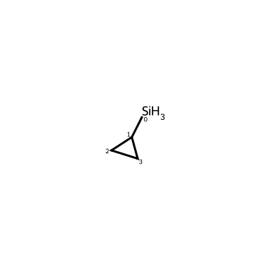 [SiH3]C1CC1